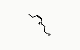 CC/C=C\NCCS